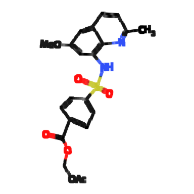 COc1cc(NS(=O)(=O)c2ccc(C(=O)OCOC(C)=O)cc2)c2nc(C)ccc2c1